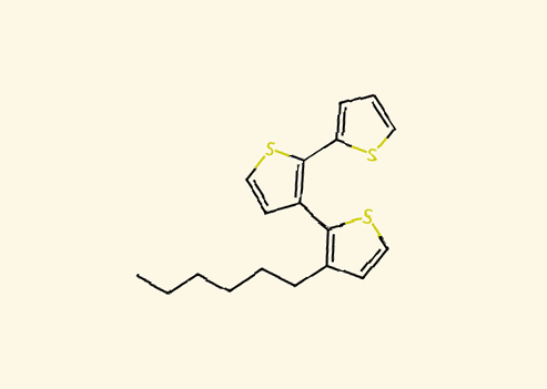 CCCCCCc1ccsc1-c1ccsc1-c1cccs1